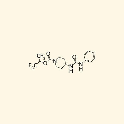 O=C(Nc1ccccc1)NC1CCN(C(=O)OC(C(F)(F)F)C(F)(F)F)CC1